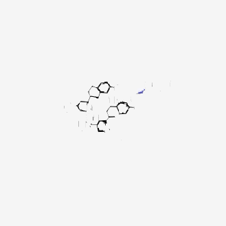 Cc1cc(N)cc(C2=Cc3cc(Cl)ccc3CC2)n1.Cc1cc(N)cc(C2=Cc3cc(Cl)ccc3CC2)n1.O=C(O)/C=C/C(=O)O